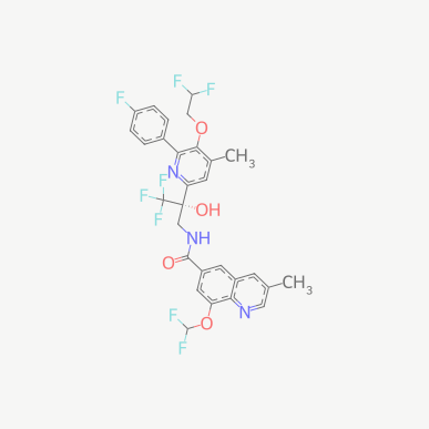 Cc1cnc2c(OC(F)F)cc(C(=O)NC[C@](O)(c3cc(C)c(OCC(F)F)c(-c4ccc(F)cc4)n3)C(F)(F)F)cc2c1